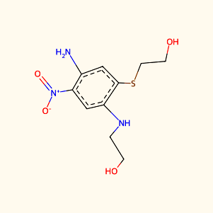 Nc1cc(SCCO)c(NCCO)cc1[N+](=O)[O-]